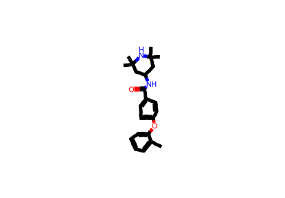 Cc1ccccc1Oc1ccc(C(=O)NC2CC(C)(C)NC(C)(C)C2)cc1